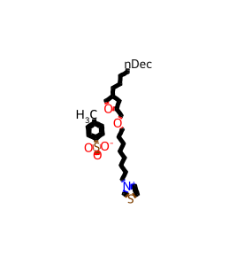 CCCCCCCCCCCCCCC1COC(COCCCCCCCC[n+]2ccsc2)C1.Cc1ccc(S(=O)(=O)[O-])cc1